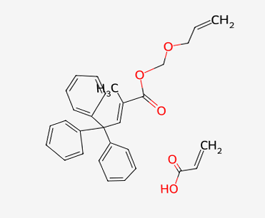 C=CC(=O)O.C=CCOCOC(=O)C(C)=CC(c1ccccc1)(c1ccccc1)c1ccccc1